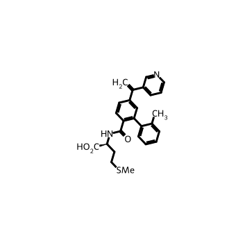 C=C(c1cccnc1)c1ccc(C(=O)N[C@@H](CCSC)C(=O)O)c(-c2ccccc2C)c1